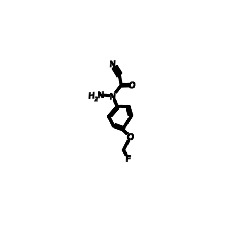 N#CC(=O)N(N)c1ccc(OCF)cc1